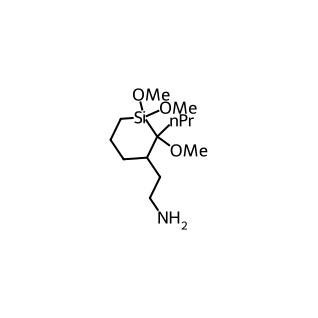 CCCC1(OC)C(CCN)CCC[Si]1(OC)OC